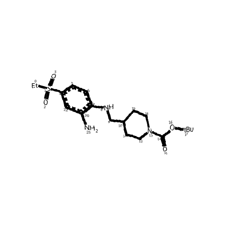 CCS(=O)(=O)c1ccc(NCC2CCN(C(=O)OC(C)(C)C)CC2)c(N)c1